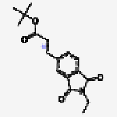 CCN1C(=O)c2ccc(/C=C/C(=O)OC(C)(C)C)cc2C1=O